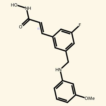 COc1cccc(NCc2cc(F)cc(/C=C/C(=O)NO)c2)c1